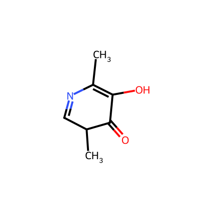 CC1=C(O)C(=O)C(C)C=N1